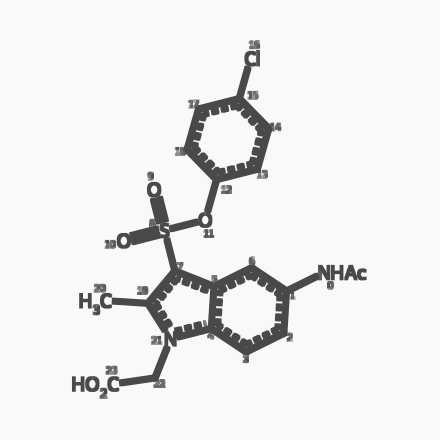 CC(=O)Nc1ccc2c(c1)c(S(=O)(=O)Oc1ccc(Cl)cc1)c(C)n2CC(=O)O